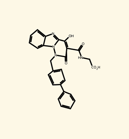 O=C(O)CNC(=O)c1c(O)c2nc3ccccc3n2n(Cc2ccc(-c3ccccc3)cc2)c1=O